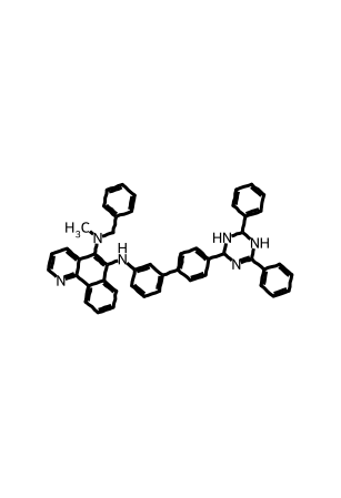 CN(Cc1ccccc1)c1c(Nc2cccc(-c3ccc(C4N=C(c5ccccc5)NC(c5ccccc5)N4)cc3)c2)c2ccccc2c2ncccc12